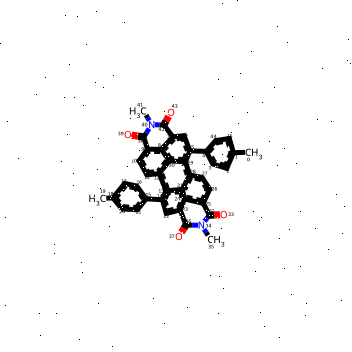 Cc1ccc(-c2cc3c4c(ccc5c6c(-c7ccc(C)cc7)cc7c8c(ccc(c2c45)c86)C(=O)N(C)C7=O)C(=O)N(C)C3=O)cc1